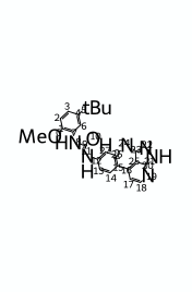 COc1ccc(C(C)(C)C)cc1NC(=O)Nc1ccc(-c2ccnc3[nH]nc(N)c23)cc1